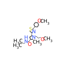 COCCCn1c(-c2csc(-c3ccc(OC)cc3)n2)cc(C(=O)NCC(C)C)c1C